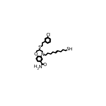 NC(=O)c1ccc2c(c1)N(CCCC/C=C/CCCS)CC(SCCc1cccc(Cl)c1)CO2